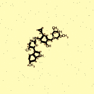 Cc1ccc2c(-c3nc(Nc4cc(O)c(CN5C[C@@H](C)N[C@@H](C)C5)cc4C4CC4)ncc3Cl)c[nH]c2c1